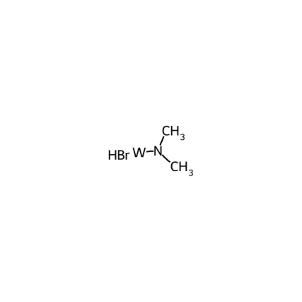 Br.C[N](C)[W]